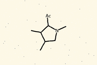 CC(=O)C1C(C)C(C)CN1C